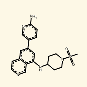 CS(=O)(=O)N1CCC(Nc2cc(-c3ccc(N)nc3)cc3ccncc23)CC1